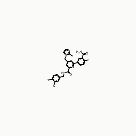 Cc1nccn1Cc1cc(C(=O)NCc2ccc(Cl)c(Cl)c2)nc(-c2ccc(F)c(C(N)=O)c2)c1